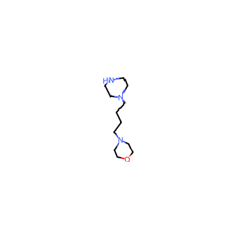 C(CCN1CCOCC1)CN1CCNCC1